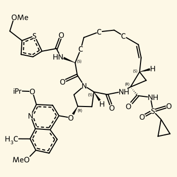 COCc1ccc(C(=O)N[C@H]2CCCCCC=C[C@@H]3C[C@@]3(C(=O)NS(=O)(=O)C3CC3)NC(=O)[C@@H]3C[C@@H](Oc4cc(OC(C)C)nc5c(C)c(OC)ccc45)CN3C2=O)s1